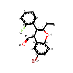 CCC1=C(c2ccccc2F)C(C=O)c2cc(Br)ccc2O1